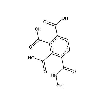 O=C(O)c1ccc(C(=O)NO)c(C(=O)O)c1C(=O)O